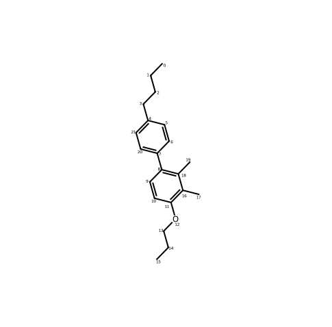 CCCCc1ccc(-c2ccc(OCCC)c(C)c2C)cc1